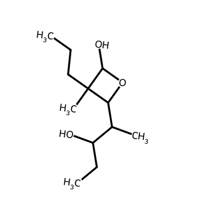 CCCC1(C)C(O)OC1C(C)C(O)CC